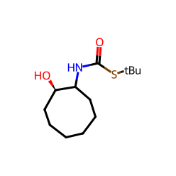 CC(C)(C)SC(=O)NC1CCCCCC[C@H]1O